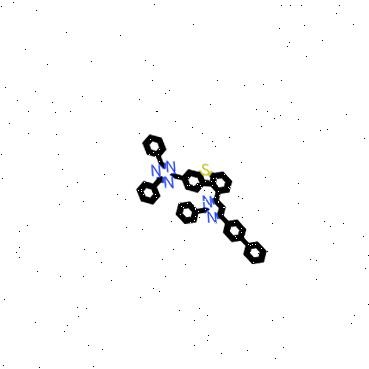 c1ccc(-c2ccc(-c3cc(-c4cccc5sc6cc(-c7nc(-c8ccccc8)nc(-c8ccccc8)n7)ccc6c45)nc(-c4ccccc4)n3)cc2)cc1